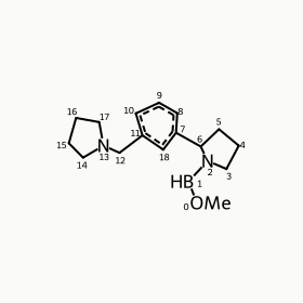 COBN1CCCC1c1cccc(CN2CCCC2)c1